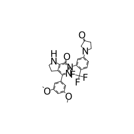 COc1cc(OC)cc(-c2nn(-c3cc(N4CCC(=O)C4)ccc3C(F)(F)F)c(=O)c3c2CCN3)c1